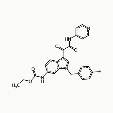 CCOC(=O)Nc1ccc2c(C(=O)C(=O)Nc3ccncc3)cn(Cc3ccc(F)cc3)c2c1